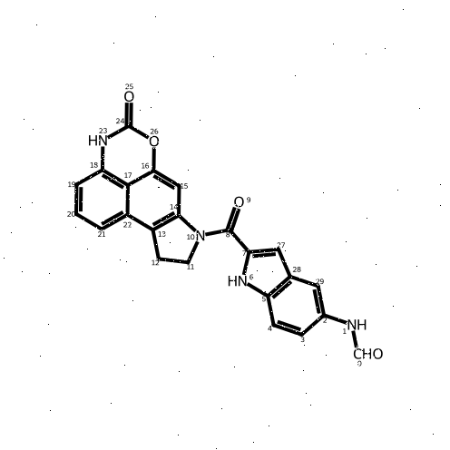 O=CNc1ccc2[nH]c(C(=O)N3CCc4c3cc3c5c(cccc45)NC(=O)O3)cc2c1